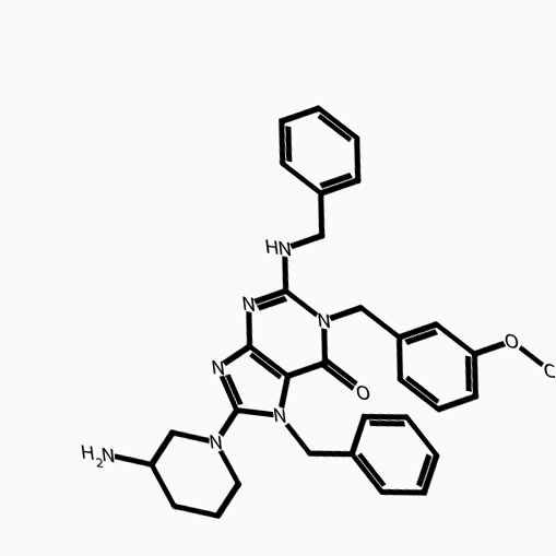 NC1CCCN(c2nc3nc(NCc4ccccc4)n(Cc4cccc(OC(F)(F)F)c4)c(=O)c3n2Cc2ccccc2)C1